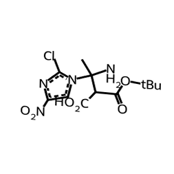 CC(C)(C)OC(=O)C(C(=O)O)C(C)(N)n1cc([N+](=O)[O-])nc1Cl